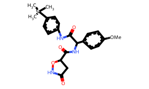 COc1ccc(C(NC(=O)C2CC(=O)NO2)C(=O)Nc2ccc([Si](C)(C)C)cc2)cc1